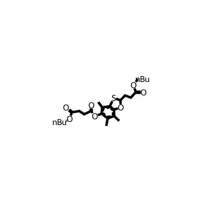 CCCCOC(=O)CCC(=O)Oc1c(C)c(C)c2c(c1C)SC(CCC(=O)OCCCC)O2